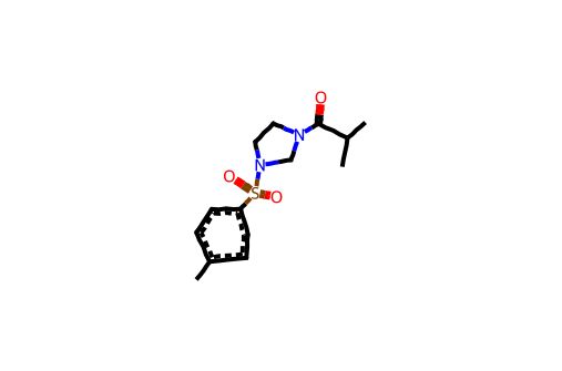 Cc1ccc(S(=O)(=O)N2CCN(C(=O)C(C)C)C2)cc1